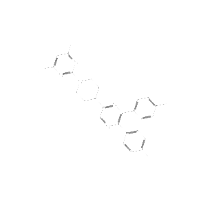 Cc1cc(C)nc(N2CCC(c3cnc(-c4ccc(F)cc4)c(-c4ccc(F)cc4)n3)CC2)n1